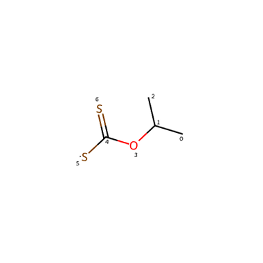 CC(C)OC([S])=S